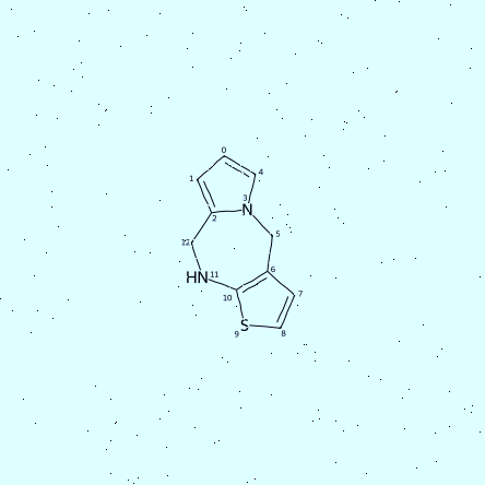 c1cc2n(c1)Cc1ccsc1NC2